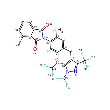 Cc1cc(Cc2c(C(F)(F)F)nn(C(F)F)c2OC(F)F)ccc1N1C(=O)c2cccc(I)c2C1=O